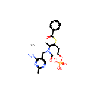 CC(=C(CCOP(=O)(O)O)SC(=O)c1ccccc1)N(C=O)Cc1cnc(C)nc1N.[Zn]